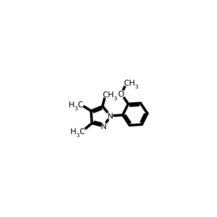 COc1ccccc1-n1nc(C)c(C)c1C